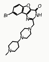 CN1CCC(N2CCN(Cc3nc4c(oc5ccc(Br)cc54)c(=O)[nH]3)CC2)CC1